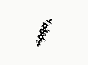 C=CC(=O)Oc1ccc(-c2ccc3c(oc4c(C)c(OC(=O)C=C)ccc43)c2C(F)(F)F)cc1